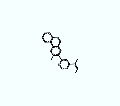 C/C=C(/C)c1ccnc(-c2cc3ccc4ccccc4c3cc2C)c1